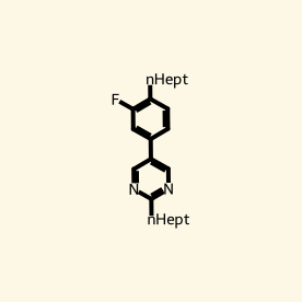 CCCCCCCc1ncc(-c2ccc(CCCCCCC)c(F)c2)cn1